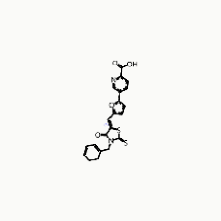 O=C(O)c1ccc(-c2ccc(/C=C3\SC(=S)N(CC4=CC=CCC4)C3=O)o2)cn1